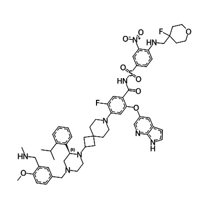 CNCc1cc(CN2CCN(C3CC4(CCN(c5cc(Oc6cnc7[nH]ccc7c6)c(C(=O)NS(=O)(=O)c6ccc(NCC7(F)CCOCC7)c([N+](=O)[O-])c6)cc5F)CC4)C3)[C@H](c3ccccc3C(C)C)C2)ccc1OC